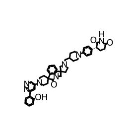 O=C1CC[C@H](c2ccc(N3CCC(CN4CCC5(C4)CN(C(=O)C4(c6ccccc6)CCN(c6cnnc(-c7ccccc7O)c6)CC4)C5)CC3)cc2)C(=O)N1